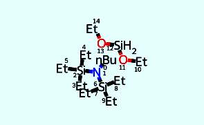 CCCCN([Si](CC)(CC)CC)[Si](CC)(CC)CC.CCO[SiH2]OCC